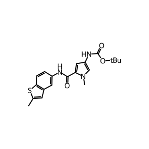 Cc1cc2cc(NC(=O)c3cc(NC(=O)OC(C)(C)C)cn3C)ccc2s1